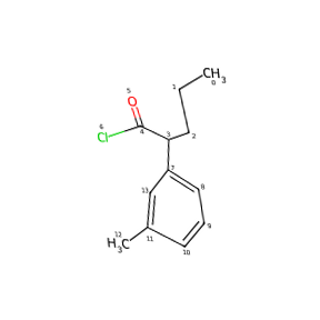 CCCC(C(=O)Cl)c1cccc(C)c1